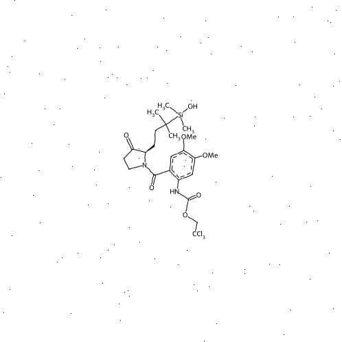 COc1cc(NC(=O)OCC(Cl)(Cl)Cl)c(C(=O)N2CCC(=O)[C@H]2CCC(C)(C)[Si](C)(C)O)cc1OC